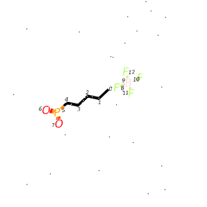 CCCCCP(=O)=O.F[B-](F)(F)F